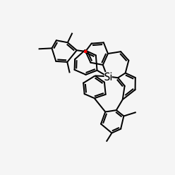 Cc1cc(C)c(-c2ccc3c(c2)[Si]2(c4ccccc4)c4ccc(cc4)-c4cc(C)cc(C)c4-c4ccc(c2c4)C=C3)c(C)c1